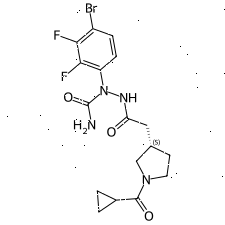 NC(=O)N(NC(=O)C[C@@H]1CCN(C(=O)C2CC2)C1)c1ccc(Br)c(F)c1F